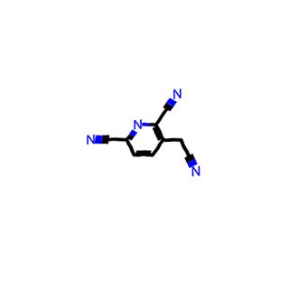 N#CCc1ccc(C#N)nc1C#N